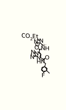 CCOC(=O)c1noc([C@H](C)NC(=O)c2cc(C(=O)NCc3ccc(F)c(C)c3)nc3ncnn23)n1